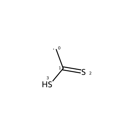 [CH2]C(=S)S